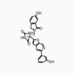 O=C1NC(=O)[C@](CN2Cc3ccc(O)cc3C2=O)(c2cc3cc(-c4cccc(O)c4)ncc3o2)N1